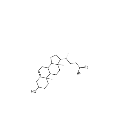 CC[C@H](CC[C@@H](C)C1CCC2C3CC=C4CC(O)CCC4(C)C3CCC21C)C(C)C